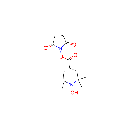 CC1(C)CC(C(=O)ON2C(=O)CCC2=O)CC(C)(C)N1O